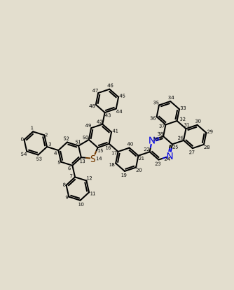 c1ccc(-c2cc(-c3ccccc3)c3sc4c(-c5cccc(-c6cnc7c8ccccc8c8ccccc8c7n6)c5)cc(-c5ccccc5)cc4c3c2)cc1